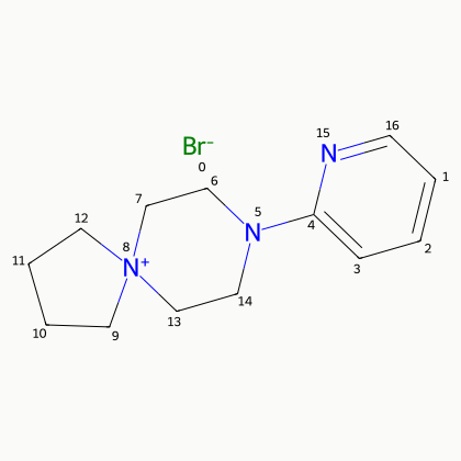 [Br-].c1ccc(N2CC[N+]3(CCCC3)CC2)nc1